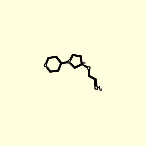 C=CCO[C@@H]1CCN(C2CCOCC2)C1